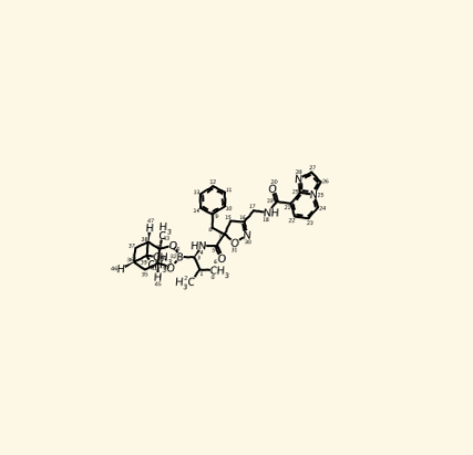 CC(C)[C@H](NC(=O)C1(Cc2ccccc2)CC(CNC(=O)c2cccn3ccnc23)=NO1)B1O[C@@H]2C[C@@H]3C[C@@H](C3(C)C)[C@]2(C)O1